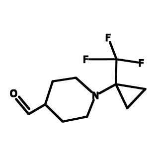 O=CC1CCN(C2(C(F)(F)F)CC2)CC1